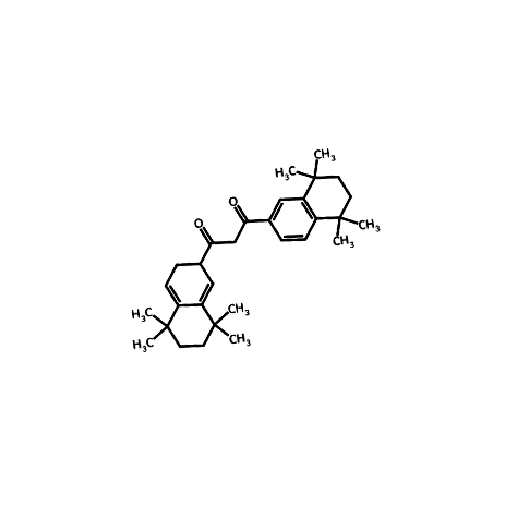 CC1(C)CCC(C)(C)C2=CC(C(=O)CC(=O)c3ccc4c(c3)C(C)(C)CCC4(C)C)CC=C21